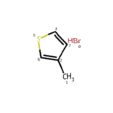 Br.Cc1ccsc1